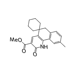 COC(=O)c1cc2c([nH]c1=O)-c1cc(C)ccc1CC21CCCCC1